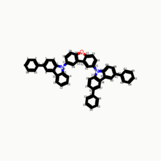 c1ccc(-c2ccc3c(c2)c2ccccc2n3-c2ccc3oc4ccc(-n5c6ccc(-c7ccccc7)cc6c6cc(-c7ccccc7)ccc65)cc4c3c2)cc1